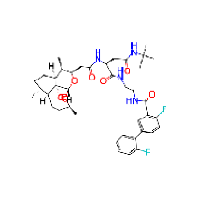 C[C@H]1[C@@H](CC(=O)N[C@@H](CC(=O)NC(C)(C)C)C(=O)NCCNC(=O)c2cc(-c3ccccc3F)ccc2F)O[C@@H]2O[C@@]3(C)CC[C@H]4[C@H](C)CC[C@@H]1[C@@]24OO3